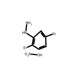 CCc1ccc(CC)c(NN)c1.O=[N+]([O-])O